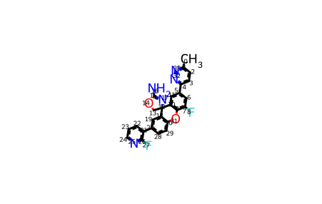 Cc1ccc(-c2cc(F)c3c(c2)C2(COC(N)=N2)c2cc(-c4cccnc4F)ccc2O3)nn1